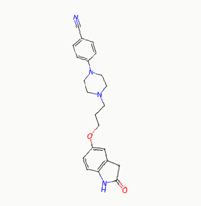 N#Cc1ccc(N2CCN(CCCOc3ccc4c(c3)CC(=O)N4)CC2)cc1